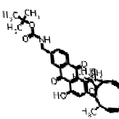 C[C@@H]1C#C/C=C\C#C[C@@H]2Nc3c(cc(O)c4c3C(=O)c3ccc(CNC(=O)OC(C)(C)C)cc3C4=O)[C@]13O[C@@]23[C@@H](C)O